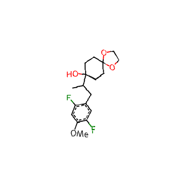 COc1cc(F)c(CC(C)C2(O)CCC3(CC2)OCCO3)cc1F